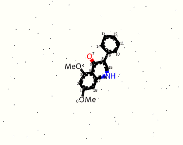 COc1cc(OC)c2c(=O)c(-c3ccccc3)c[nH]c2c1